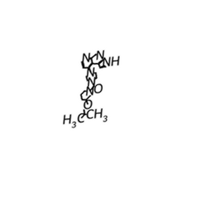 CC(C)COC1CCCN(C(=O)N2CCN(c3ccnc4cnc5[nH]ccc5c34)CC2)C1